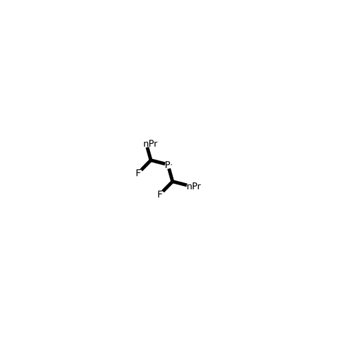 CCCC(F)[P]C(F)CCC